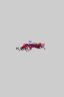 C=CC(=O)Nc1cc(Nc2nc(-c3ccnc(N4CCn5c(cc6c5CC(C)(C)C6)C4=O)c3CO)cnc2OC)ccc1N1CCN(C2CCN(c3ccnc(C(C)(C)NP(=O)(O)O)c3)[C@H](C)C2)C[C@@H]1C